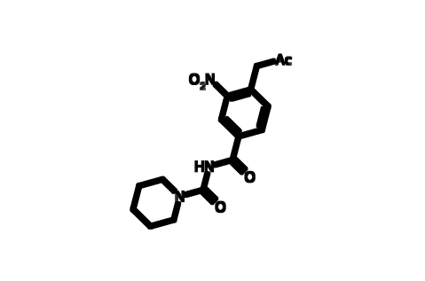 CC(=O)Cc1ccc(C(=O)NC(=O)N2CCCCC2)cc1[N+](=O)[O-]